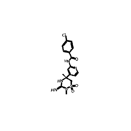 CN1C(=N)N[C@](C)(c2ccnc(NC(=O)c3ccc(Cl)cc3)c2)CS1(=O)=O